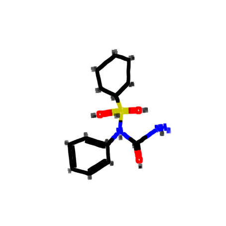 NC(=O)N(c1ccccc1)S(=O)(=O)C1CCCCC1